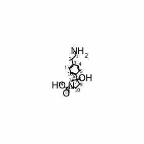 NCCc1ccc(C2(O)CCN(C(=O)O)C2)cc1